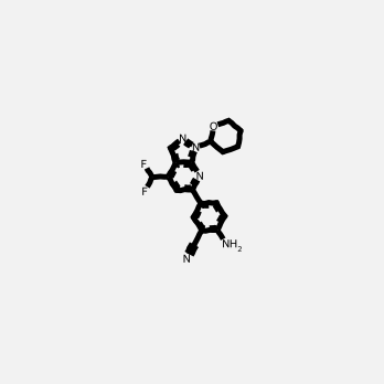 N#Cc1cc(-c2cc(C(F)F)c3cnn(C4CCCCO4)c3n2)ccc1N